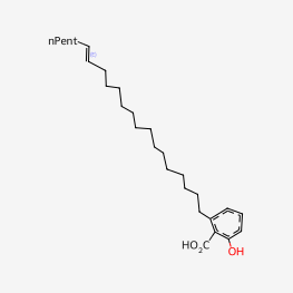 CCCCC/C=C/CCCCCCCCCCCCCCc1cccc(O)c1C(=O)O